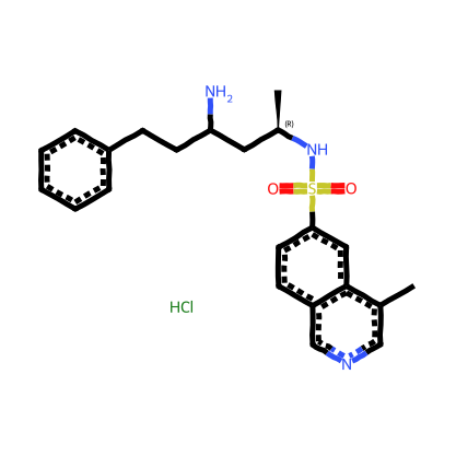 Cc1cncc2ccc(S(=O)(=O)N[C@H](C)CC(N)CCc3ccccc3)cc12.Cl